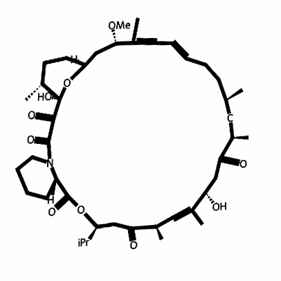 CO[C@H]1C[C@@H]2CC[C@@H](C)[C@@](O)(O2)C(=O)C(=O)N2CCCC[C@H]2C(=O)O[C@H](C(C)C)CC(=O)[C@H](C)/C=C(\C)[C@@H](O)CC(=O)[C@H](C)C[C@H](C)CC/C=C/C=C/1C